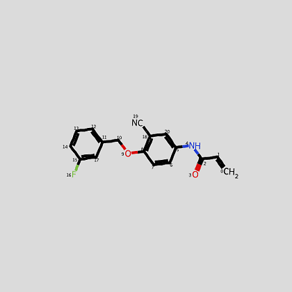 C=CC(=O)Nc1ccc(OCc2cccc(F)c2)c(C#N)c1